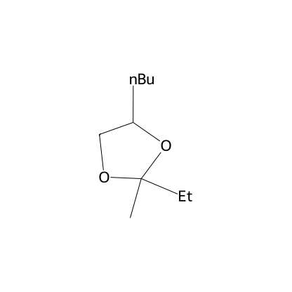 CCCCC1COC(C)(CC)O1